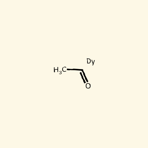 CC=O.[Dy]